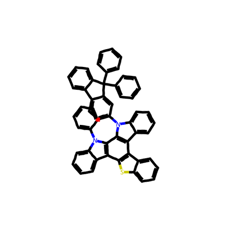 c1ccc(-n2c3ccccc3c3c4sc5ccccc5c4c4c5ccccc5n(-c5ccc6c(c5)C(c5ccccc5)(c5ccccc5)c5ccccc5-6)c4c32)cc1